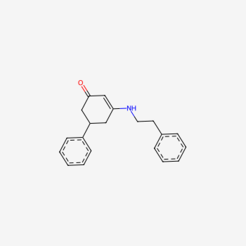 O=C1C=C(NCCc2ccccc2)CC(c2ccccc2)C1